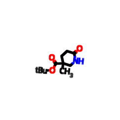 CC(C)(C)OC(=O)C1(C)CCC(=O)NC1